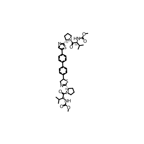 COC(=O)N[C@H](C(=O)N1CCC[C@H]1C1=NCC(c2ccc(-c3ccc(-c4cnc([C@@H]5CCCN5C(=O)[C@@H](NC(=O)OC)C(C)C)s4)cc3)cc2)S1)C(C)C